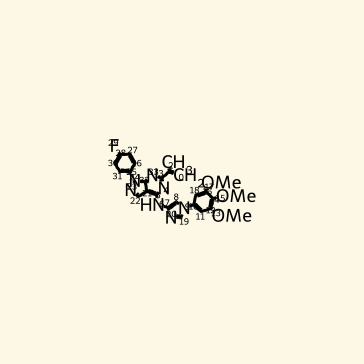 C=C(C)c1nc(Nc2cn(-c3cc(OC)c(OC)c(OC)c3)cn2)c2cnn(-c3ccc(F)cc3)c2n1